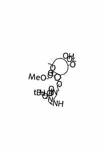 BC(=O)N(CCOc1cc2c(c(OCOC)c1)C(=O)OC(C)[C@H](C)CCC(O)C1OC(C)(C)OC1CCC2)CC1NC=CN1C(=O)OC(C)(C)C